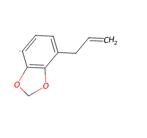 C=CCc1cc[c]c2c1OCO2